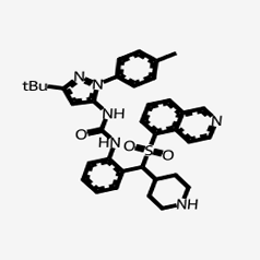 Cc1ccc(-n2nc(C(C)(C)C)cc2NC(=O)Nc2ccccc2C(C2CCNCC2)S(=O)(=O)c2cccc3cnccc23)cc1